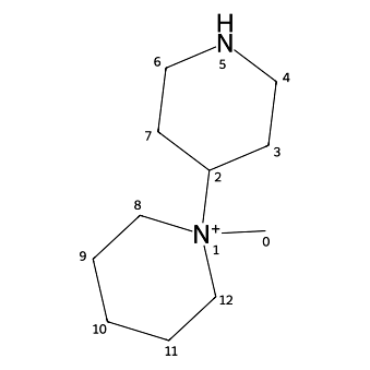 C[N+]1(C2CCNCC2)CCCCC1